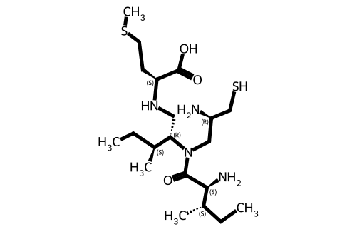 CC[C@H](C)[C@H](N)C(=O)N(C[C@@H](N)CS)[C@@H](CN[C@@H](CCSC)C(=O)O)[C@@H](C)CC